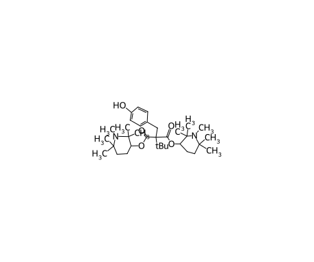 CN1C(C)(C)CCC(OC(=O)C(Cc2ccc(O)cc2)(C(=O)OC2CCC(C)(C)N(C)C2(C)C)C(C)(C)C)C1(C)C